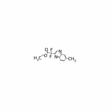 CCOC(=O)C(F)(F)c1cnc2cc(C)ccc2n1